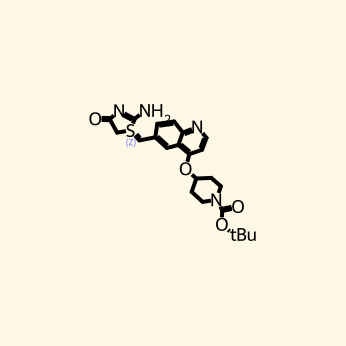 CC(C)(C)OC(=O)N1CCC(Oc2ccnc3ccc(/C=S4/CC(=O)N=C4N)cc23)CC1